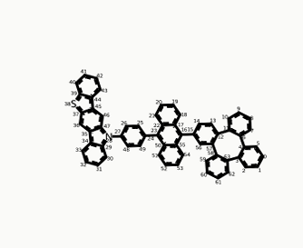 c1ccc2c(c1)-c1ccccc1-c1ccc(-c3c4ccccc4c(-c4ccc(-n5c6ccccc6c6cc7sc8ccccc8c7cc65)cc4)c4ccccc34)cc1-c1ccccc1-2